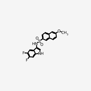 COc1ccc2cc(S(=O)(=O)Nc3c[nH]c4cc(F)c(F)cc34)ccc2c1